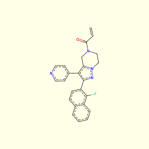 C=CC(=O)N1CCn2nc(-c3ccc4ccccc4c3F)c(-c3ccncc3)c2C1